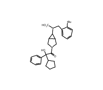 CC(C)(C)c1ccccc1CN(C(=O)O)C1C2CN(C(=O)C(O)(c3ccccc3)C3CCCC3)CC21